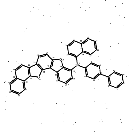 c1ccc(-c2ccc(N(c3cccc4ccccc34)c3cccc4c3oc3ccc5c6ccc7ccccc7c6oc5c34)cc2)cc1